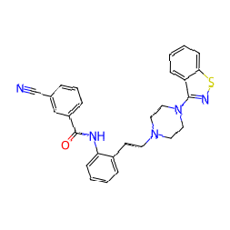 N#Cc1cccc(C(=O)Nc2ccccc2CCN2CCN(c3nsc4ccccc34)CC2)c1